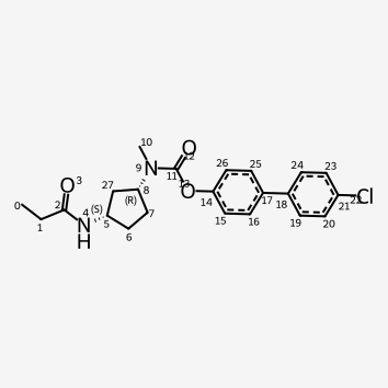 CCC(=O)N[C@H]1CC[C@@H](N(C)C(=O)Oc2ccc(-c3ccc(Cl)cc3)cc2)C1